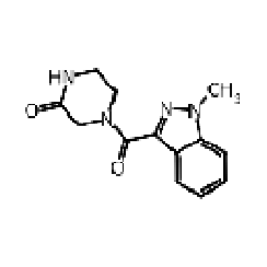 Cn1nc(C(=O)N2CCNC(=O)C2)c2ccccc21